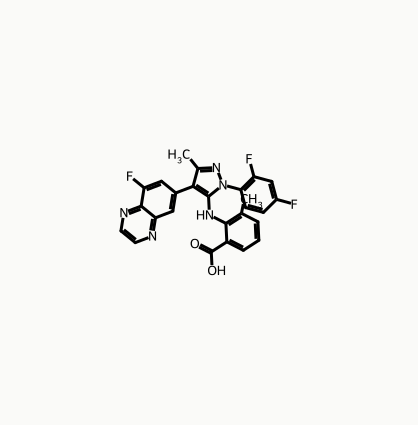 Cc1cccc(C(=O)O)c1Nc1c(-c2cc(F)c3nccnc3c2)c(C)nn1-c1ccc(F)cc1F